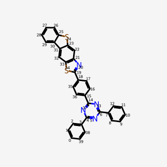 c1ccc(-c2nc(-c3ccccc3)nc(-c3ccc(-c4nc5cc6sc7ccccc7c6cc5s4)cc3)n2)cc1